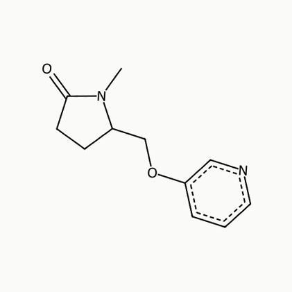 CN1C(=O)CCC1COc1cccnc1